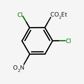 CCOC(=O)c1c(Cl)cc([N+](=O)[O-])cc1Cl